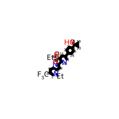 CCn1cc(C(F)(F)F)cc2nc(-c3ncc(-c4ccc(C5(O)CC5)cc4)cc3S(=O)(=O)CC)cc1-2